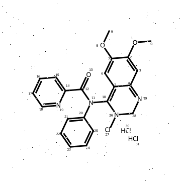 COc1cc2c(cc1OC)=C(N(C(=O)c1ccccn1)c1ccccc1)N(Cl)CN=2.Cl.Cl